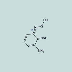 N=C1C(N)=CC=C/C1=N/SO